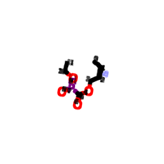 C/C=C\COC(=O)[PH](=O)OCC